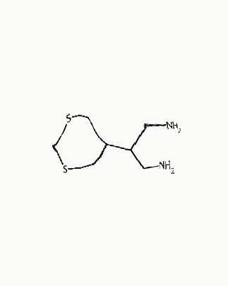 NCC(CN)C1CSCSC1